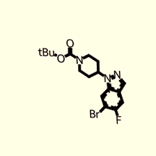 CC(C)(C)OC(=O)N1CCC(n2ncc3cc(F)c(Br)cc32)CC1